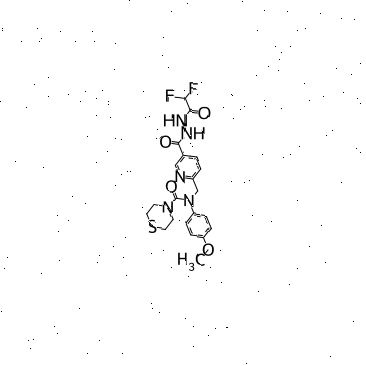 COc1ccc(N(Cc2ccc(C(=O)NNC(=O)C(F)F)cn2)C(=O)N2CCSCC2)cc1